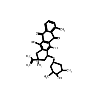 C=C(C)[C@]1(C)Cc2c(O)c3c(c(O)c2C(OC2CC(C)C(O)C(C)C2)C1)C(=O)c1c(C)cccc1C3=O